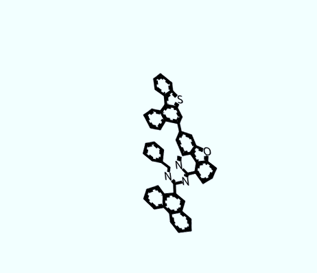 C=N/C(=N\C(=N/Cc1ccccc1)c1cc2ccccc2c2ccccc12)c1cccc2oc3cc(-c4cc5sc6ccccc6c5c5ccccc45)ccc3c12